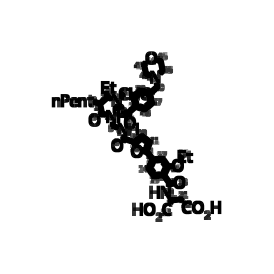 CCCCCC(C(=O)NCNC(=O)c1ccc(-c2ccc(C(=O)NC(CC(=O)O)C(=O)O)c(OCC)c2)o1)C(CC)N(C=O)OC(=O)c1ccc(CN2CCOCC2)cc1